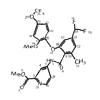 COC(=O)c1cc(NC(=O)c2c(C)cc(C(F)F)cc2Oc2ccc(OC(F)(F)F)cc2OC)ccn1